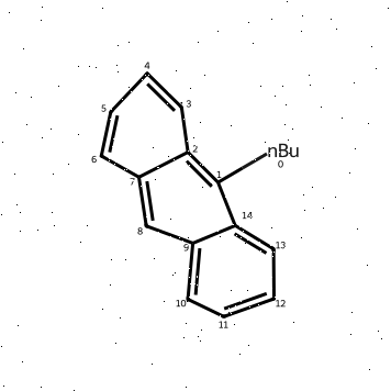 CCCCc1c2[c]cccc2cc2ccccc12